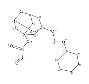 C=CC(=O)OC12CC3CC(CC(OCOC4CCCCC4)(C3)C1)C2